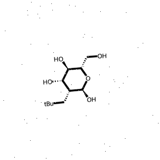 CC(C)(C)C[C@@H]1[C@H](O)[C@@H](O)[C@H](CO)O[C@H]1O